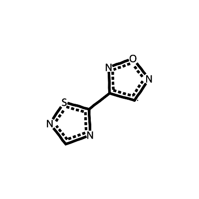 [c]1nonc1-c1ncns1